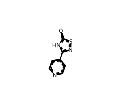 O=c1[nH]c(-c2ccncc2)ns1